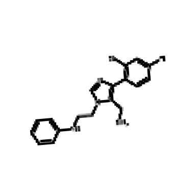 NCc1c(-c2ccc(Cl)cc2Cl)ncn1CCNc1ccccc1